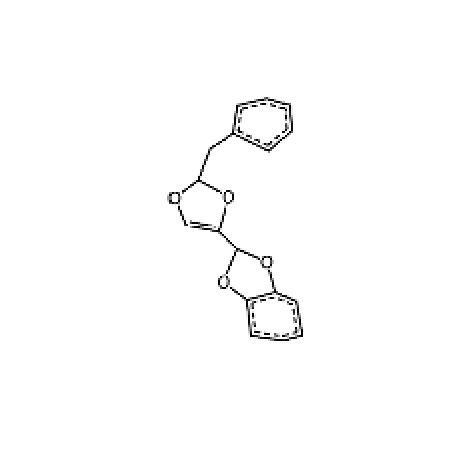 C1=C(C2Oc3ccccc3O2)OC(Cc2ccccc2)O1